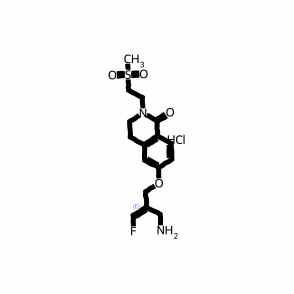 CS(=O)(=O)CCN1CCc2cc(OC/C(=C/F)CN)ccc2C1=O.Cl